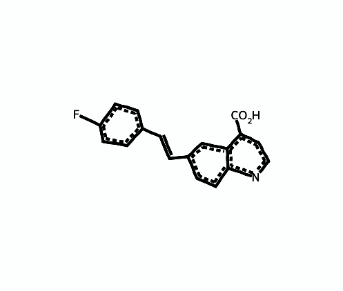 O=C(O)c1ccnc2ccc(C=Cc3ccc(F)cc3)cc12